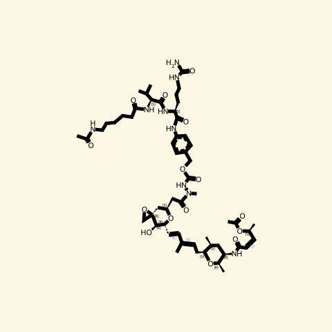 CC(=O)NCCCCCC(=O)N[C@H](C(=O)N[C@@H](CCCNC(N)=O)C(=O)Nc1ccc(COC(=O)NN(C)C(=O)C[C@@H]2C[C@@]3(CO3)[C@H](O)[C@@H](/C=C/C(C)=C/C[C@@H]3O[C@H](C)[C@H](NC(=O)/C=C\[C@H](C)OC(C)=O)C[C@@H]3C)O2)cc1)C(C)C